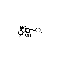 C=C(C)[C@@H]1CCC(C)=C[C@H]1c1c(O)cc(CCC(=O)O)cc1O